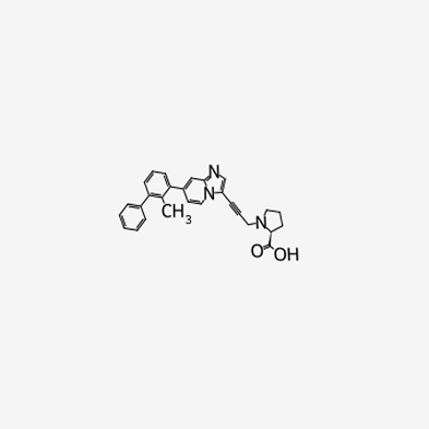 Cc1c(-c2ccccc2)cccc1-c1ccn2c(C#CCN3CCC[C@H]3C(=O)O)cnc2c1